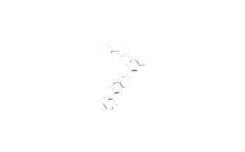 CC1c2cnc(-c3ncccn3)nc2CCN1c1cc(F)cc(N2CCOC(C(N)=O)C2)n1